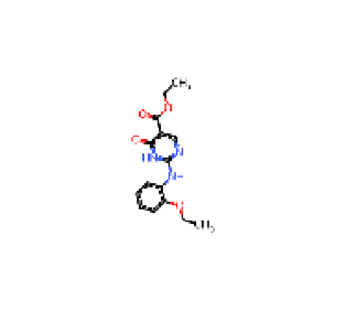 CCOC(=O)c1cnc(Nc2ccccc2OCC)[nH]c1=O